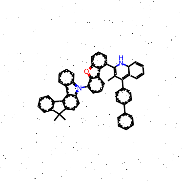 CC1=C(c2cccc3oc4c(-n5c6ccccc6c6c7c(ccc65)C(C)(C)c5ccccc5-7)cccc4c23)NC2C=CC=CC2=C1c1ccc(-c2ccccc2)cc1